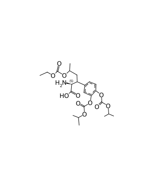 CCOC(=O)OC(C)CC(c1ccc(OC(=O)OC(C)C)c(OC(=O)OC(C)C)c1)[C@H](N)C(=O)O